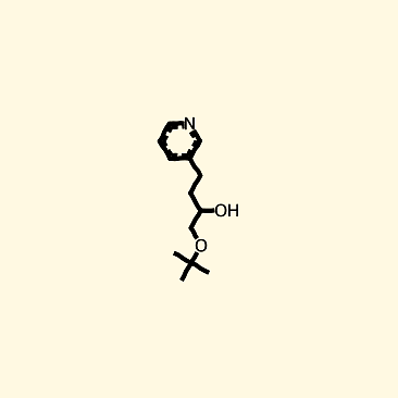 CC(C)(C)OCC(O)CCc1cccnc1